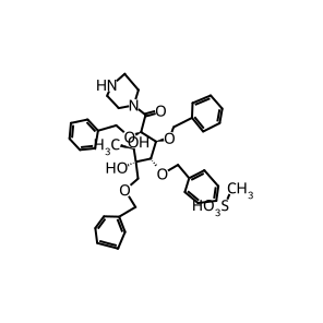 CS(=O)(=O)O.C[C@@H](O)[C@](O)(COCc1ccccc1)[C@@H](OCc1ccccc1)[C@H](OCc1ccccc1)[C@@H](OCc1ccccc1)C(=O)N1CCNCC1